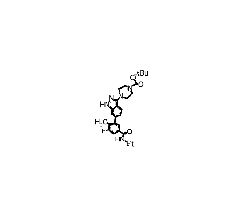 CCNC(=O)c1cc(F)c(C)c(-c2ccc3c(N4CCN(C(=O)OC(C)(C)C)CC4)n[nH]c3c2)c1